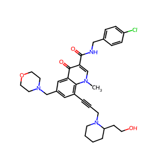 Cn1cc(C(=O)NCc2ccc(Cl)cc2)c(=O)c2cc(CN3CCOCC3)cc(C#CCN3CCCCC3CCO)c21